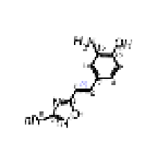 CCCc1noc(/C=C/c2ccc(O)c(N)c2)n1